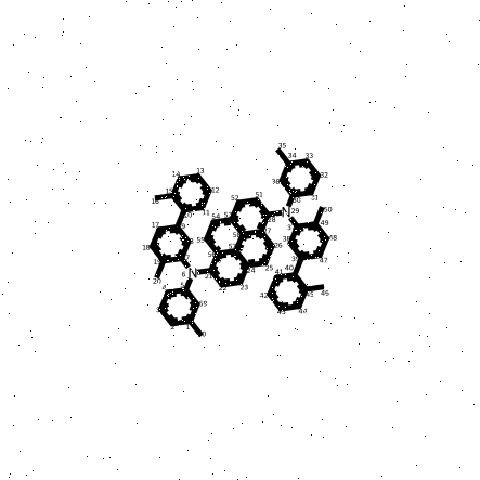 Cc1cccc(N(c2cc(-c3ccccc3C)ccc2C)c2ccc3ccc4c(N(c5cccc(C)c5)c5cc(-c6ccccc6C)ccc5C)ccc5ccc2c3c54)c1